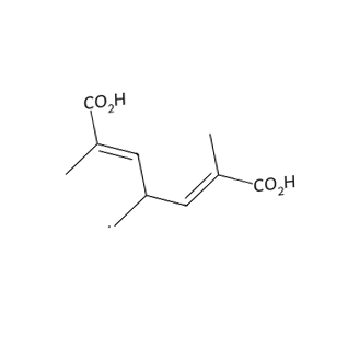 [CH2]C(C=C(C)C(=O)O)C=C(C)C(=O)O